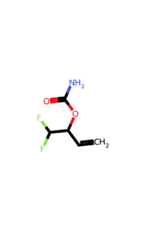 C=CC(OC(N)=O)C(F)F